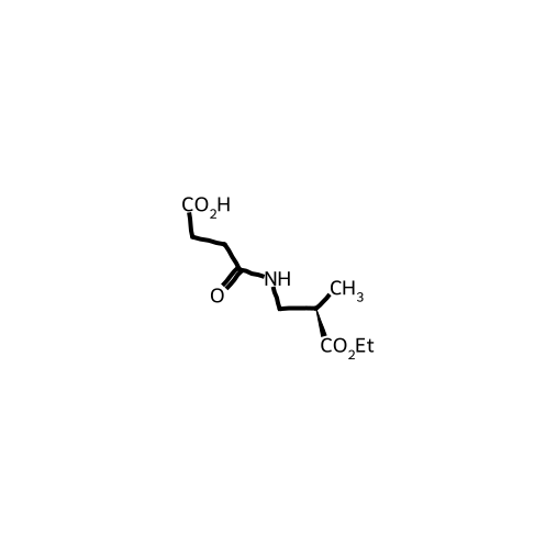 CCOC(=O)[C@H](C)CNC(=O)CCC(=O)O